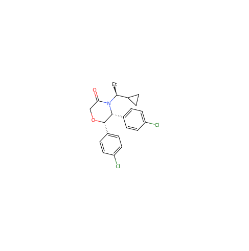 CC[C@@H](C1CC1)N1C(=O)CO[C@@H](c2ccc(Cl)cc2)[C@H]1c1ccc(Cl)cc1